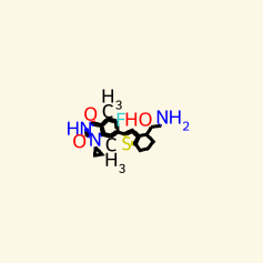 Cc1c(F)c(-c2cc3c(s2)CCCC3C(O)CN)c(C)c2c1c(=O)[nH]c(=O)n2C1CC1